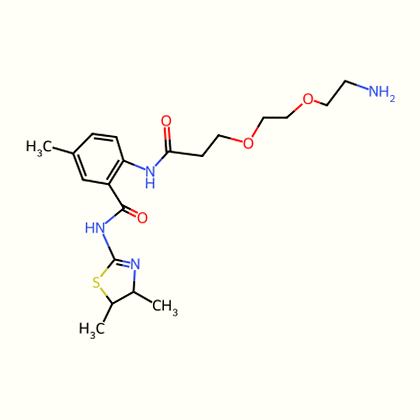 Cc1ccc(NC(=O)CCOCCOCCN)c(C(=O)NC2=NC(C)C(C)S2)c1